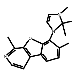 Cc1ccc2c(oc3c(C)nccc32)c1N1C=CN(C)C1(C)C